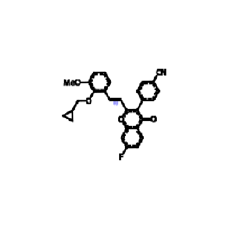 COc1cccc(/C=C/c2oc3cc(F)ccc3c(=O)c2-c2ccc(C#N)cc2)c1OCC1CC1